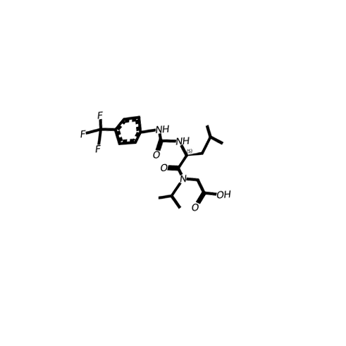 CC(C)C[C@H](NC(=O)Nc1ccc(C(F)(F)F)cc1)C(=O)N(CC(=O)O)C(C)C